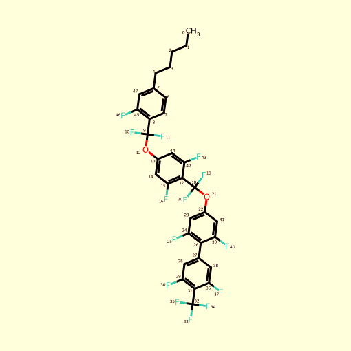 CCCCCc1ccc(C(F)(F)Oc2cc(F)c(C(F)(F)Oc3cc(F)c(-c4cc(F)c(C(F)(F)F)c(F)c4)c(F)c3)c(F)c2)c(F)c1